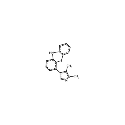 Cc1c(-c2cccc3c2Sc2ccccc2N3)cnn1C